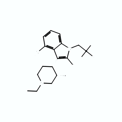 CCN1CC[C@H](c2c(I)n(CC(F)(F)F)c3cccc(N)c23)[C@H](F)C1